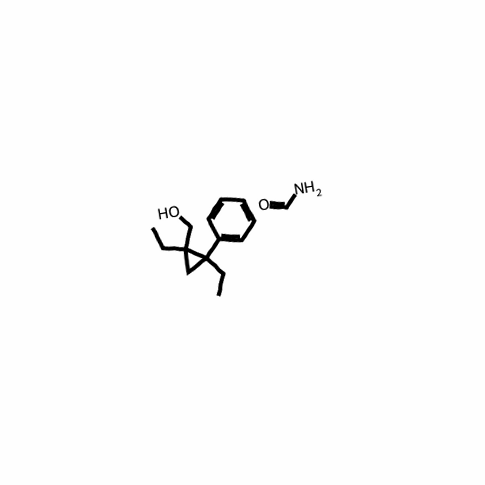 CCC1(CO)CC1(CC)c1ccccc1.NC=O